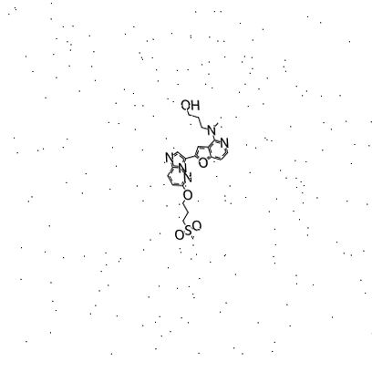 CN(CCCO)c1nccc2oc(-c3cnc4ccc(OCCCS(C)(=O)=O)nn34)cc12